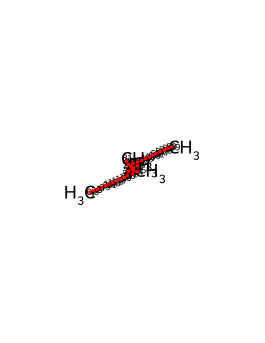 CCCCCCCCCCCCCCCCCCCCc1ccc(C([CH]C(C)CCCC)(CCCC)c2ccc(CCCCCCCCCCCCCCCCCCCC)cc2)cc1